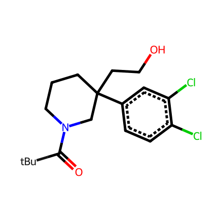 CC(C)(C)C(=O)N1CCCC(CCO)(c2ccc(Cl)c(Cl)c2)C1